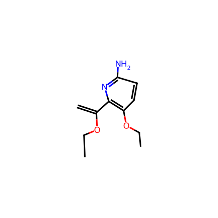 C=C(OCC)c1nc(N)ccc1OCC